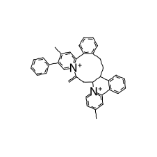 C=C1CC2C(CCc3ccccc3-c3cc(C)c(-c4ccccc4)c[n+]31)c1ccccc1-c1cc(C)cc[n+]12